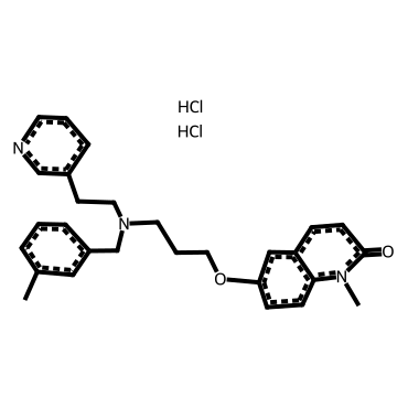 Cc1cccc(CN(CCCOc2ccc3c(ccc(=O)n3C)c2)CCc2cccnc2)c1.Cl.Cl